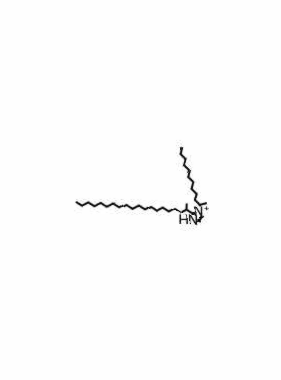 CCCCCCCCCCCCCCCCCCC(C)c1[nH]cc[n+]1C(C)CCCCCCCCCC